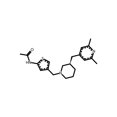 CC(=O)Nc1cc(CN2CCC[C@H](Cc3cc(C)nc(C)c3)C2)cs1